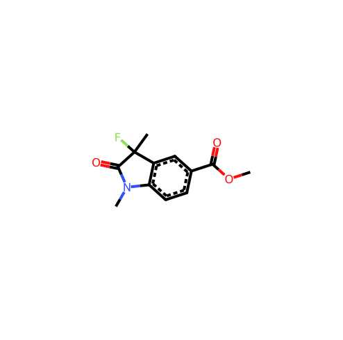 COC(=O)c1ccc2c(c1)C(C)(F)C(=O)N2C